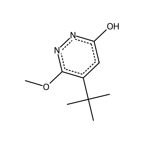 COc1nnc(O)cc1C(C)(C)C